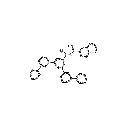 N=C(SC(N)c1cc(-c2cccc(-c3ccccc3)c2)nc(-c2cccc(-c3ccccc3)c2)n1)c1ccc2ccccc2c1